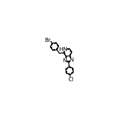 Clc1ccc(-c2nc3cc[nH]c(Cc4ccc(Br)cc4)c-3n2)cc1